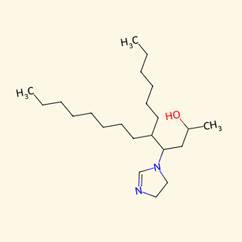 CCCCCCCCC(CCCCCC)C(CC(C)O)N1C=NCC1